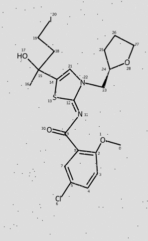 COc1ccc(Cl)cc1C(=O)N=c1sc(C(C)(O)CCI)cn1C[C@H]1CCCO1